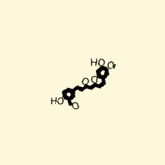 COc1cc(/C=C\C(=O)CC(=O)/C=C/c2ccc(O)c(C=O)c2)ccc1O